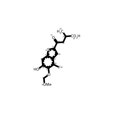 COCOc1c(O)cc2sc(C(=O)CC(C)C(=O)O)cc2c1F